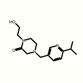 CC(C)c1ccc(CN2CCN(CCO)C(=O)C2)cn1